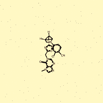 Cn1cnc2ncn(Cc3nc([C@@]45C6[C@H]4[C@H]5CN6c4ccc(C#N)c(Cl)c4)no3)c(=O)c21